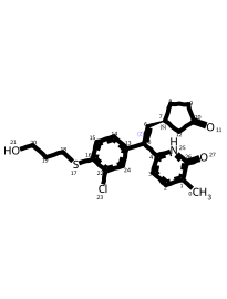 Cc1ccc(/C(=C\[C@H]2CCC(=O)C2)c2ccc(SCCCO)c(Cl)c2)[nH]c1=O